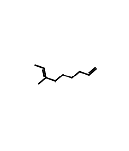 C=CCCC[CH]C(C)=CC